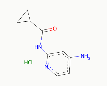 Cl.Nc1ccnc(NC(=O)C2CC2)c1